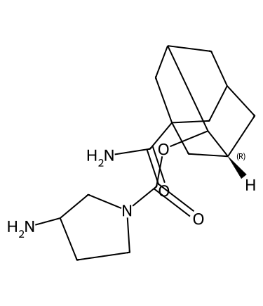 NC(=O)C12CC3CC(C1)C(OC(=O)N1CCC(N)C1)[C@H](C3)C2